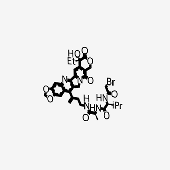 C=C(CCNC(=O)[C@H](C)NC(=O)[C@@H](NC(=O)CBr)C(C)C)c1c2c(nc3cc4c(cc13)OCO4)-c1cc3c(c(=O)n1C2)COC(=O)[C@]3(O)CC